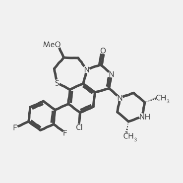 COC1CSc2c(-c3ccc(F)cc3F)c(Cl)cc3c(N4C[C@@H](C)N[C@@H](C)C4)nc(=O)n(c23)C1